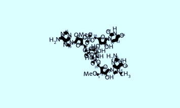 COC[C@H]1[C@@H](O)[C@H](n2c[n+](C)c3c(=O)[nH]c(N)nc32)O[C@@H]1COP(=O)(O)NP(=O)(O)OP(=O)(O)OC[C@H]1O[C@@H](n2cnc3c(N)ncnc32)[C@H](OC)[C@@H]1OP(=O)([O-])OC[C@H]1O[C@@H](n2ccc(=O)[nH]c2=O)[C@H](O)[C@@H]1O